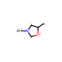 CC1CN(C(C)C)CO1